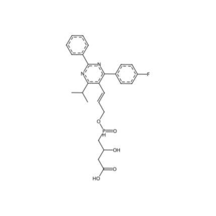 CC(C)c1nc(-c2ccccc2)nc(-c2ccc(F)cc2)c1C=CCO[PH](=O)CC(O)CC(=O)O